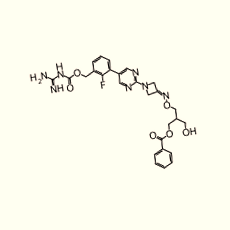 N=C(N)NC(=O)OCc1cccc(-c2cnc(N3CC(=NOCC(CO)COC(=O)c4ccccc4)C3)nc2)c1F